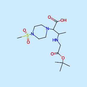 CC(NCC(=O)OC(C)(C)C)C(C(=O)O)N1CCN(S(C)(=O)=O)CC1